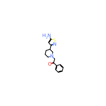 Nc1cc(C2CCCN(CC(=O)c3ccccc3)C2)ns1